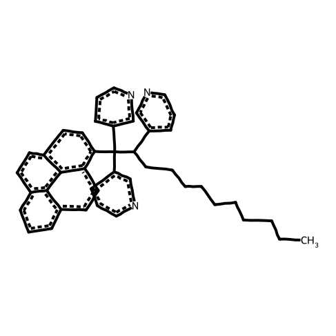 CCCCCCCCCCC(c1cccnc1)C(c1cccnc1)(c1cccnc1)c1ccc2ccc3cccc4ccc1c2c34